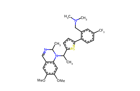 COc1cc2c(cc1OC)N(C(C)c1ccc(-c3ccc(C(F)(F)F)cc3CN(C)C)s1)C(C)N=C2